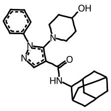 O=C(NC1C2CC3CC(C2)CC1C3)c1cnn(-c2ccccc2)c1N1CCC(O)CC1